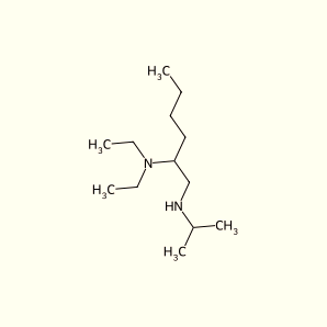 CCCCC(CNC(C)C)N(CC)CC